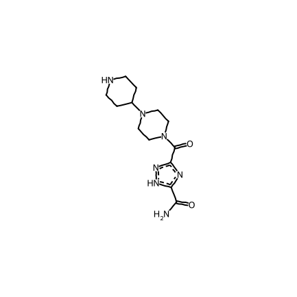 NC(=O)c1nc(C(=O)N2CCN(C3CCNCC3)CC2)n[nH]1